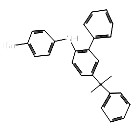 CC(C)(C)c1ccc(Nc2ccc(C(C)(C)c3ccccc3)cc2-c2ccccc2)cc1